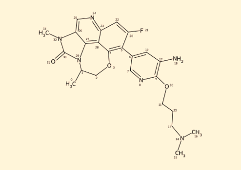 CC1COc2c(-c3cnc(OCCCN(C)C)c(N)c3)c(F)cc3ncc4c(c23)n1c(=O)n4C